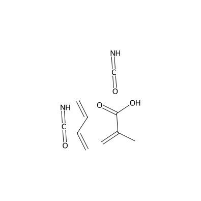 C=C(C)C(=O)O.C=CC=C.N=C=O.N=C=O